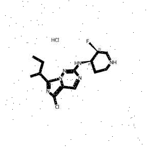 CCC(C)c1nc(Cl)c2cnc(N[C@@H]3CCNC[C@@H]3F)nn12.Cl